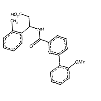 COc1ccccc1-c1cccc(C(=O)NC(CC(=O)O)c2ccccc2C)n1